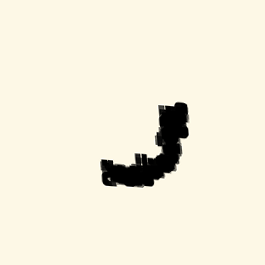 CC1(C)C(NC(=O)c2ccc(N3CCC(CN4CCN(c5cc6c(cc5F)C(=O)N(N5CCC(=O)NC5=O)C6=O)CC4)CC3)nc2)C(C)(C)C1Oc1ccc(C#N)c(Cl)c1